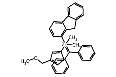 COCC1=CC[C]([Zr]([CH3])([CH3])(=[C](c2ccccc2)c2ccccc2)[c]2cccc3c2Cc2ccccc2-3)=C1